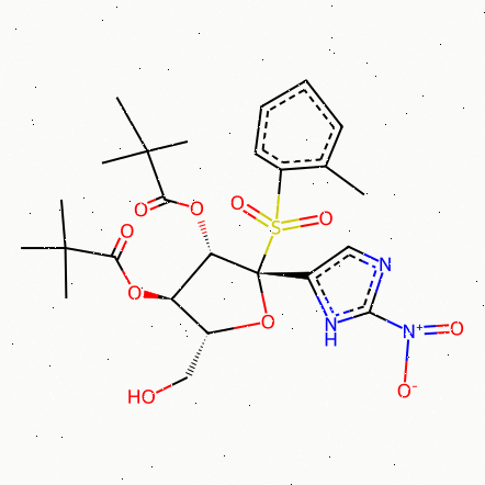 Cc1ccccc1S(=O)(=O)[C@]1(c2cnc([N+](=O)[O-])[nH]2)O[C@H](CO)[C@@H](OC(=O)C(C)(C)C)[C@@H]1OC(=O)C(C)(C)C